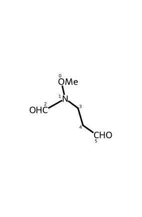 CON(C=O)CCC=O